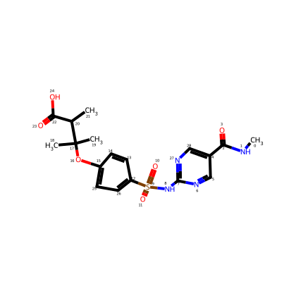 CNC(=O)c1cnc(NS(=O)(=O)c2ccc(OC(C)(C)C(C)C(=O)O)cc2)nc1